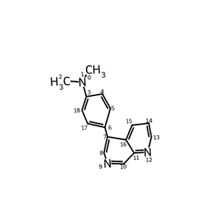 CN(C)c1ccc(-c2cncc3nc[c]cc23)cc1